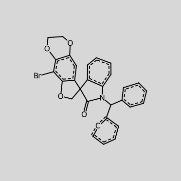 O=C1N(C(c2ccccc2)c2ccccc2)c2ccccc2C12COc1c2cc2c(c1Br)OCCO2